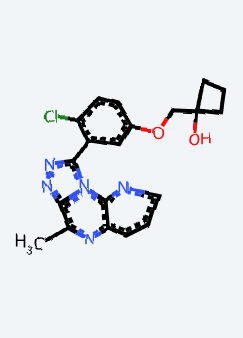 Cc1nc2cccnc2n2c(-c3cc(OCC4(O)CCC4)ccc3Cl)nnc12